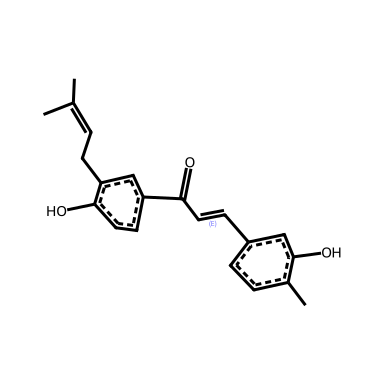 CC(C)=CCc1cc(C(=O)/C=C/c2ccc(C)c(O)c2)ccc1O